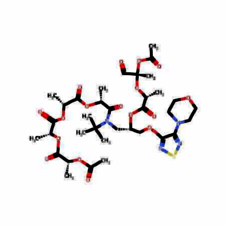 CC(=O)O[C@H](C)C(=O)O[C@H](C)C(=O)O[C@H](C)C(=O)O[C@H](C)C(=O)N(C[C@@H](COc1nsnc1N1CCOCC1)OC(=O)[C@@H](C)O[C@](C)(C=O)OC(C)=O)C(C)(C)C